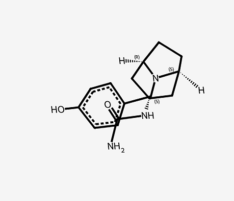 NC(=O)N[C@@H]1C[C@H]2CC[C@@H](C1)N2Cc1ccc(O)cc1